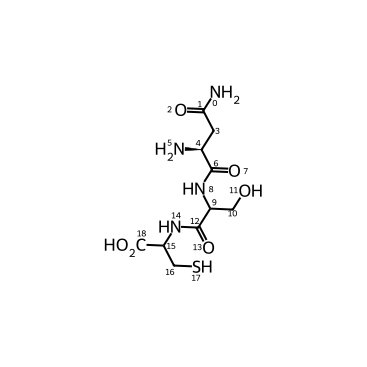 NC(=O)C[C@H](N)C(=O)NC(CO)C(=O)NC(CS)C(=O)O